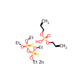 C=CCOP(=O)(O)OCC=C.CCOP(=S)(OCC)OP(=S)(OCC)OCC.[Zn]